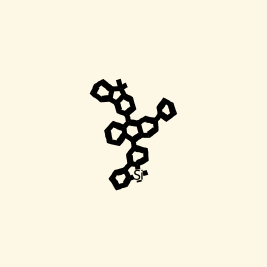 CC1(C)c2ccccc2-c2cc(-c3c4ccccc4c(-c4ccc5c(c4)-c4ccccc4[Si]5(C)C)c4ccc(-c5ccccc5)cc34)ccc21